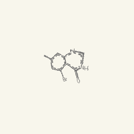 Cc1cc(Br)c2c(=O)[nH]cnc2c1